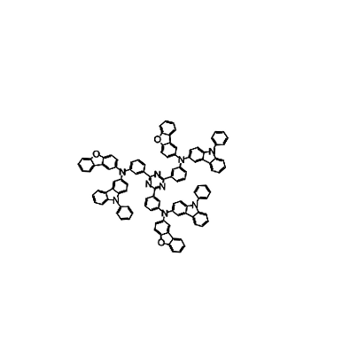 c1ccc(-n2c3ccccc3c3cc(N(c4cccc(-c5nc(-c6cccc(N(c7ccc8oc9ccccc9c8c7)c7ccc8c(c7)c7ccccc7n8-c7ccccc7)c6)nc(-c6cccc(N(c7ccc8oc9ccccc9c8c7)c7ccc8c(c7)c7ccccc7n8-c7ccccc7)c6)n5)c4)c4ccc5oc6ccccc6c5c4)ccc32)cc1